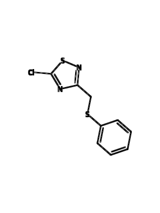 Clc1nc(CSc2ccccc2)ns1